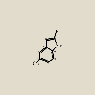 Cc1[c]c2cc(Cl)ccc2s1